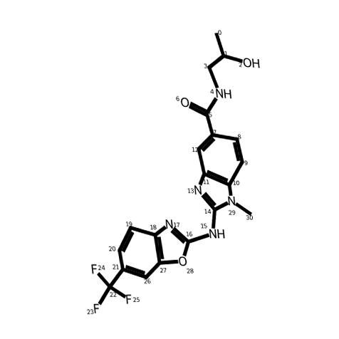 CC(O)CNC(=O)c1ccc2c(c1)nc(Nc1nc3ccc(C(F)(F)F)cc3o1)n2C